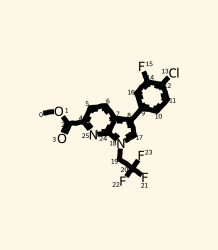 COC(=O)c1ccc2c(-c3ccc(Cl)c(F)c3)cn(CC(F)(F)F)c2n1